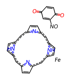 C1=Cc2cc3ccc(cc4nc(cc5ccc(cc1n2)[nH]5)C=C4)[nH]3.O=NC1=CC(=O)C=CC1=O.[Fe]